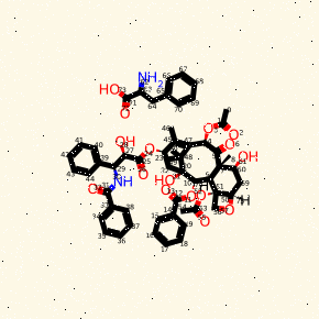 CC(=O)O[C@H]1C(=O)[C@@]2(C)[C@H]([C@H](OC(=O)c3ccccc3)[C@]3(O)C[C@H](OC(=O)[C@H](O)[C@@H](NC(=O)c4ccccc4)c4ccccc4)C(C)=C1C3(C)C)[C@]1(OC(C)=O)CO[C@@H]1C[C@@H]2O.NC(Cc1ccccc1)C(=O)O